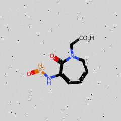 O=[PH2]NC1=CC=CCN(CC(=O)O)C1=O